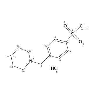 CS(=O)(=O)c1ccc(CN2CCNCC2)cc1.Cl